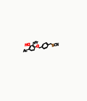 CCCc1c(OCc2ccc(CSC#N)cc2)ccc(C(C)=O)c1O